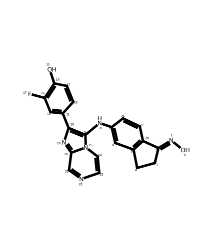 ON=C1CCc2cc(Nc3c(-c4ccc(O)c(F)c4)nc4cnccn34)ccc21